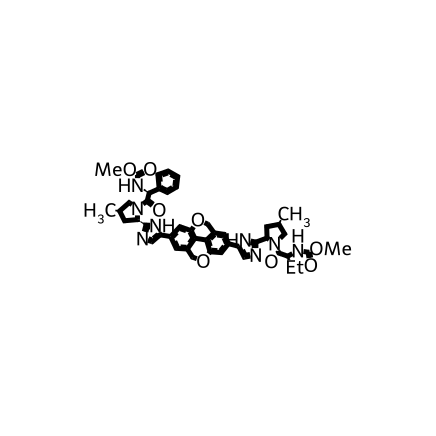 CC[C@H](NC(=O)OC)C(=O)N1C[C@@H](C)CC1c1ncc(-c2cc3c4c(c2)OCc2cc(-c5cnc([C@@H]6C[C@H](C)CN6C(=O)[C@H](NC(=O)OC)c6ccccc6)[nH]5)cc(c2-4)OC3)[nH]1